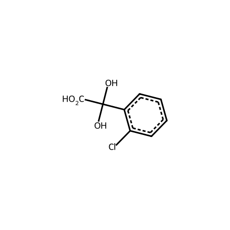 O=C(O)C(O)(O)c1ccccc1Cl